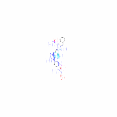 COCCNC(=O)c1cc(C)c(NC(=N)/N=C\C(=C(/C)N[C@@H]2Cc3ccccc3[C@H]2NC(C)=O)C(F)(F)F)cn1